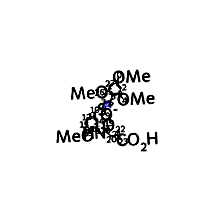 COc1cc(OC)c(/C=C/[S+]([O-])Cc2ccc(OC)c(NC(=O)CC(C)C(=O)O)c2)c(OC)c1